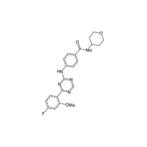 COc1cc(F)ccc1-c1ncnc(Nc2ccc(C(=O)NC3CCOCC3)cc2)n1